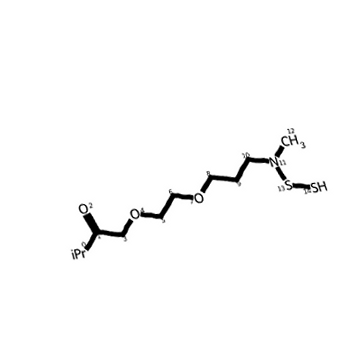 CC(C)C(=O)COCCOCCCN(C)SS